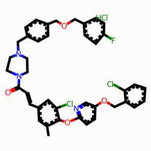 Cc1cc(C=CC(=O)N2CCN(Cc3ccc(COCc4ccc(F)cc4)cc3)CC2)cc(Cl)c1Oc1ccc(OCc2ccccc2Cl)cn1.Cl